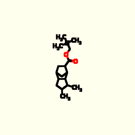 CC1CC2C3CC(C(=O)OC[Si](C)(C)C)C(C3)C2C1C